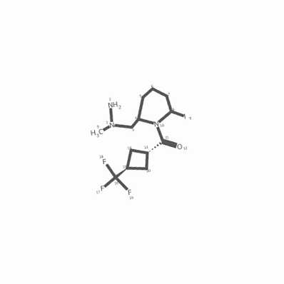 CN(N)CC1CCCC(I)N1C(=O)[C@H]1C[C@H](C(F)(F)F)C1